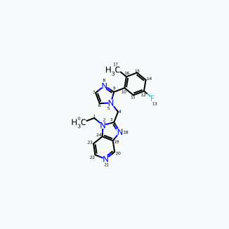 CCn1c(Cn2ccnc2-c2cc(F)ccc2C)nc2cnccc21